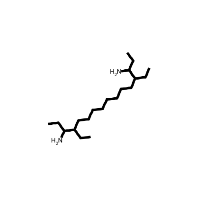 CCC(N)C(CC)CCCCCCCCC(CC)C(N)CC